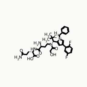 CC(C)(C)[C@H](c1cc(-c2cc(F)ccc2F)cn1Cc1ccccc1)N(CC[C@H](N)C(=O)N[C@@H](CCC(N)=O)C(=O)O)C(=O)CO